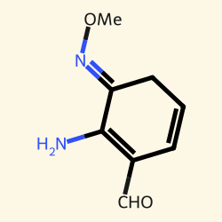 CO/N=C1\CC=CC(C=O)=C1N